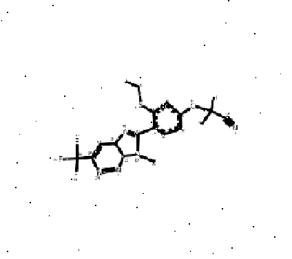 CCSc1cc(OC(C)(C)C#N)ccc1C1=NC2C=C(C(F)(F)F)N=NC2N1C